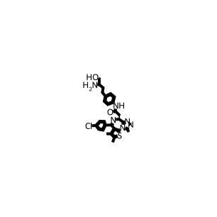 Cc1sc2c(c1C)C(c1ccc(Cl)cc1)=N[C@@H](CC(=O)Nc1ccc(CCC(N)CO)cc1)c1nnc(C)n1-2